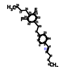 CCC/C=C/c1ccc(CCc2cc(F)c(CCCC)c(F)c2)cc1